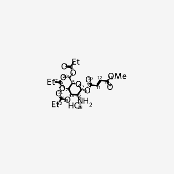 CCC(=O)OC[C@H]1O[C@@H](OC(=O)/C=C/C(=O)OC)[C@H](N)[C@@H](OC(=O)CC)[C@@H]1OC(=O)CC.Cl